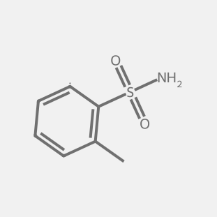 Cc1ccc[c]c1S(N)(=O)=O